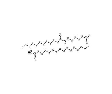 CCCCCCCCCCCC(=O)OCCCCCC(C)C.CCCCCCCCCCCCCCCC(=O)O